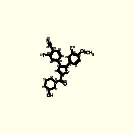 COc1ccc(-c2sc(C(=O)N3CCCC(O)C3)cc2-c2ccc(C#N)c(F)c2)cc1F